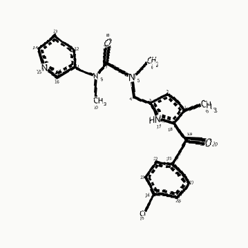 Cc1cc(CN(C)C(=O)N(C)c2cccnc2)[nH]c1C(=O)c1ccc(Cl)cc1